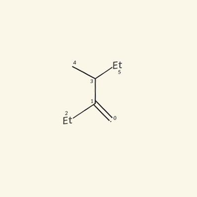 [CH]=C(CC)C(C)CC